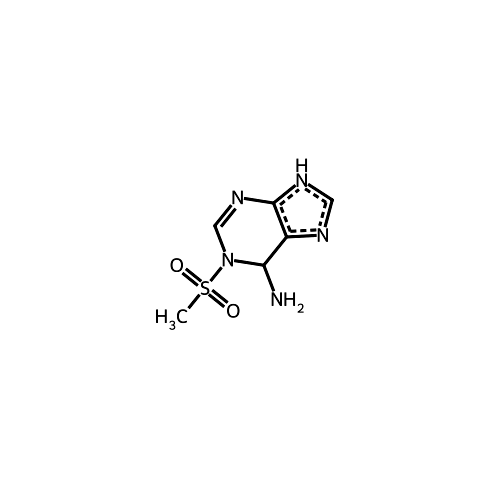 CS(=O)(=O)N1C=Nc2[nH]cnc2C1N